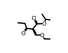 CCO/C=C(/C(=O)CC)C(=O)OC(C)C